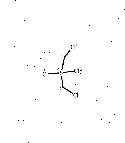 ClCS(Cl)(Cl)CCl